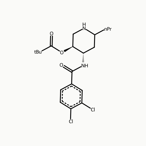 CCCC1C[C@H](NC(=O)c2ccc(Cl)c(Cl)c2)[C@@H](OC(=O)C(C)(C)C)CN1